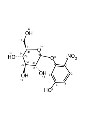 O=[N+]([O-])c1ccc(O)cc1OC1O[C@H](CO)[C@@H](O)[C@H](O)[C@H]1O